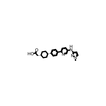 Cn1ccc(Nc2ccc(-c3ccc([C@H]4CC[C@@H](CC(=O)O)CC4)cc3)nc2)n1